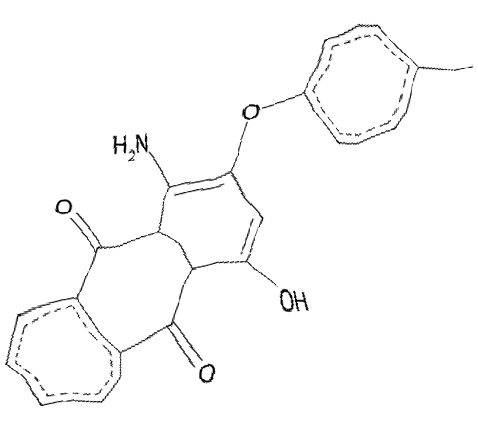 Cc1ccc(OC2=C(N)C3C(=O)c4ccccc4C(=O)C3C(O)=C2)cc1